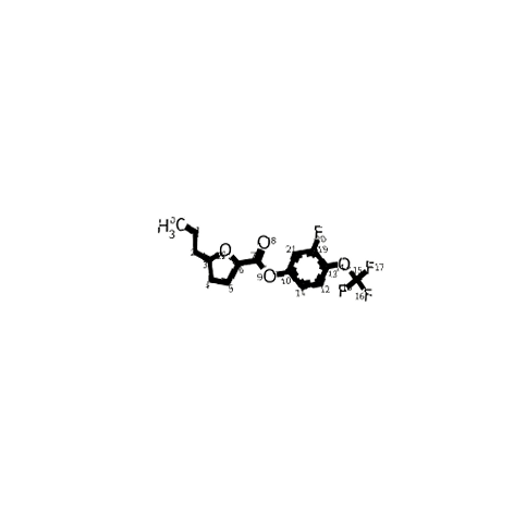 CCCC1CCC(C(=O)Oc2ccc(OC(F)(F)F)c(F)c2)O1